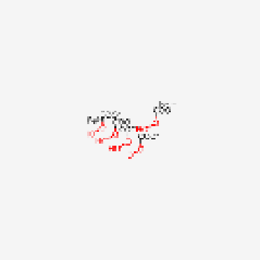 O=C([O-])OO.O=C([O-])OO.O=C([O-])OO.O=C([O-])OO.O=C([O-])OO.[Fe+2].[Fe+3]